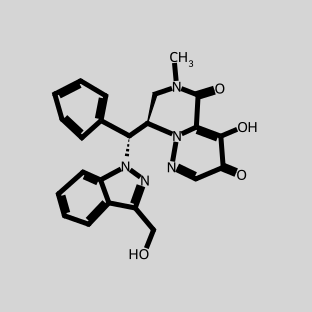 CN1C[C@H]([C@@H](c2ccccc2)n2nc(CO)c3ccccc32)n2ncc(=O)c(O)c2C1=O